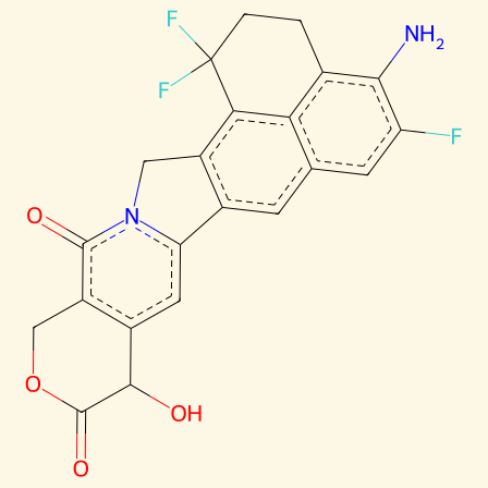 Nc1c(F)cc2cc3c(c4c2c1CCC4(F)F)Cn1c-3cc2c(c1=O)COC(=O)C2O